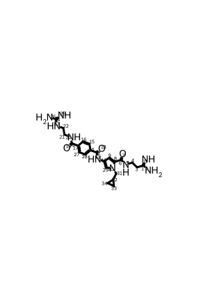 N=C(N)CCNC(=O)c1cc(NC(=O)c2ccc(C(=O)NCCNC(=N)N)cc2)cn1CC1CC1